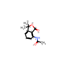 CC(=O)Nc1cccc2c1C(=O)OC2(C)C